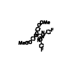 COCOc1ccc(OCCc2nc(-c3ccc(F)cc3)cn2-n2cc(-c3ccc(F)cc3)nc2CCOc2ccc(OCOC)cc2)cc1